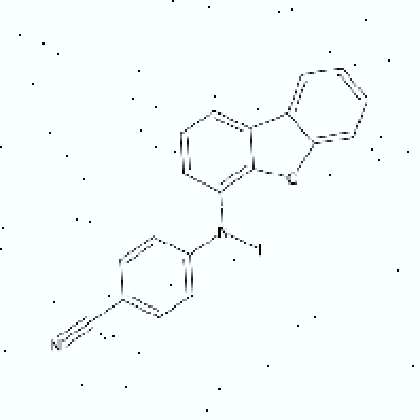 N#Cc1ccc(N(I)c2cccc3c2oc2ccccc23)cc1